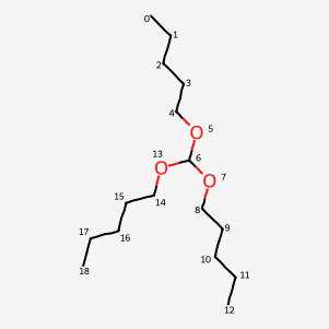 CCCCCOC(OCCCCC)OCCCCC